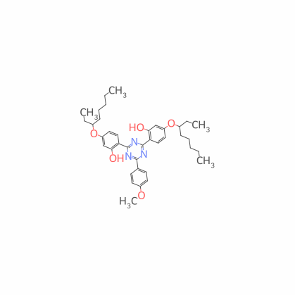 CCCCCC(CC)Oc1ccc(-c2nc(-c3ccc(OC)cc3)nc(-c3ccc(OC(CC)CCCCC)cc3O)n2)c(O)c1